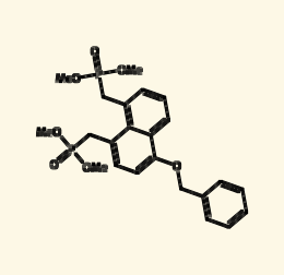 COP(=O)(Cc1cccc2c(OCc3ccccc3)ccc(CP(=O)(OC)OC)c12)OC